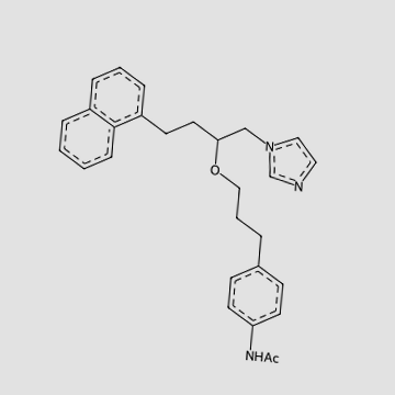 CC(=O)Nc1ccc(CCCOC(CCc2cccc3ccccc23)Cn2ccnc2)cc1